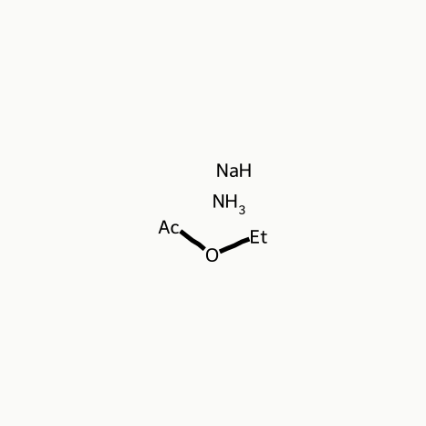 CCOC(C)=O.N.[NaH]